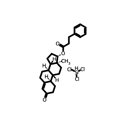 C[C@]12CC[C@H]3[C@@H](CCC4=CC(=O)CC[C@@H]43)[C@@H]1CC[C@@H]2OC(=O)CCc1ccccc1.Cl[SiH](Cl)Cl